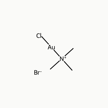 C[N+](C)(C)[Au][Cl].[Br-]